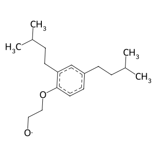 CC(C)CCc1ccc(OCC[O])c(CCC(C)C)c1